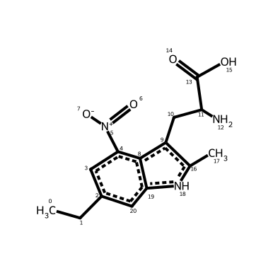 CCc1cc([N+](=O)[O-])c2c(CC(N)C(=O)O)c(C)[nH]c2c1